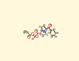 CC(OC(=O)C(C)C)OC(=O)C1CCn2c(C(=O)c3ccccc3)ccc21